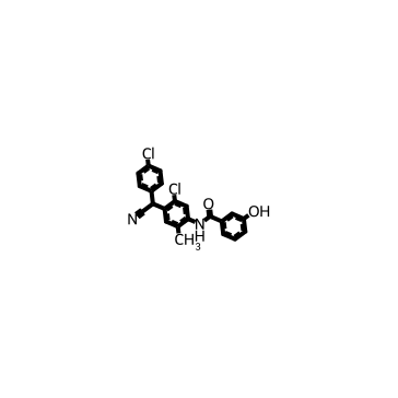 Cc1cc(C(C#N)c2ccc(Cl)cc2)c(Cl)cc1NC(=O)c1cccc(O)c1